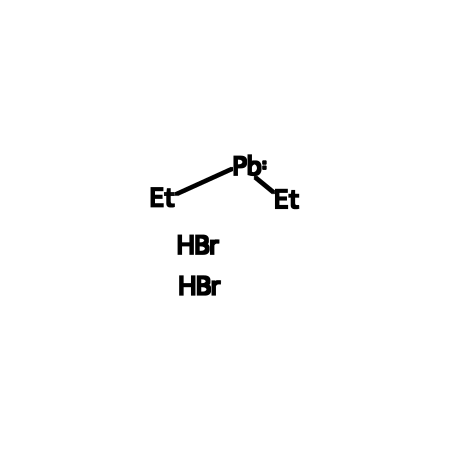 Br.Br.C[CH2][Pb][CH2]C